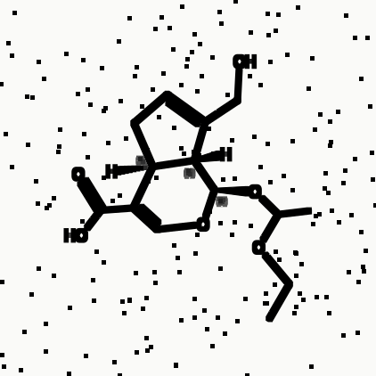 CCOC(C)O[C@H]1OC=C(C(=O)O)[C@H]2CC=C(CO)[C@H]12